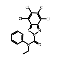 CCN(C(=O)n1nc2c(Cl)c(Cl)c(Cl)c(Cl)c2n1)c1ccccc1